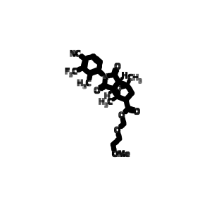 COCCOCOC(=O)C1C[C@]2(C)O[C@@]1(C)[C@H]1C(=O)N(c3ccc(C#N)c(C(F)(F)F)c3C)C(=O)[C@H]12